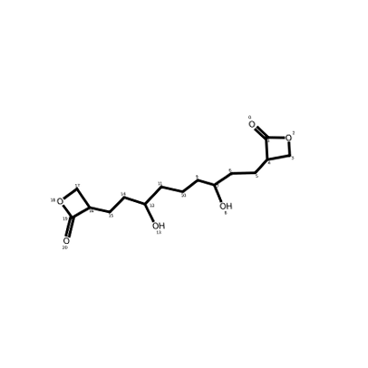 O=C1OCC1CCC(O)CCCC(O)CCC1COC1=O